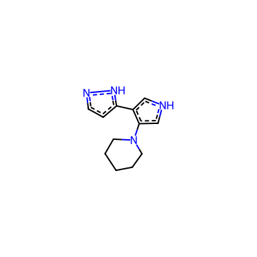 c1cc(-c2c[nH]cc2N2CCCCC2)[nH]n1